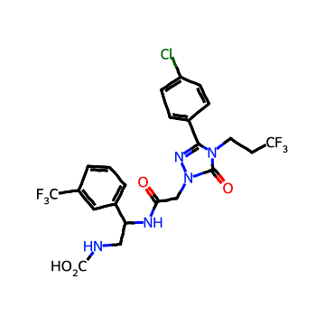 O=C(O)NCC(NC(=O)Cn1nc(-c2ccc(Cl)cc2)n(CCC(F)(F)F)c1=O)c1cccc(C(F)(F)F)c1